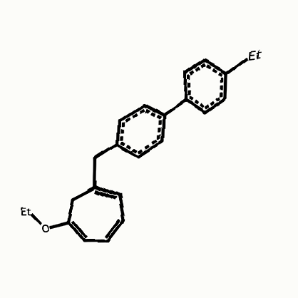 CCOC1=CC=CC=C(Cc2ccc(-c3ccc(CC)cc3)cc2)C1